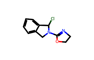 ClC1c2ccccc2CN1C1=NCCO1